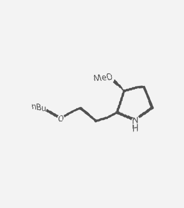 CCCCOCCC1NCC[C@@H]1OC